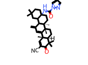 C=C1C=C2[C@@]3(C)C=C(C#N)C(=O)C(C)(C)[C@@H]3CC[C@@]2(C)[C@]2(C)CC[C@@]3(NC(=O)n4cccn4)CCC(C)(C)CC3C12